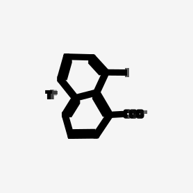 O=C([O-])c1cccc2cccc(I)c12.[Tl+]